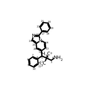 CC(C)(CN)C(c1ccccc1)c1ccn2c(-c3ccccc3)ncc2c1